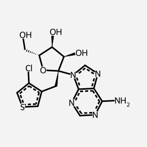 Nc1ncnc2c1ncn2[C@]1(Cc2cscc2Cl)O[C@H](CO)[C@@H](O)[C@H]1O